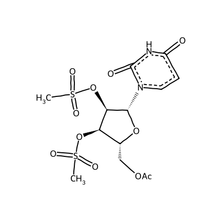 CC(=O)OC[C@H]1O[C@@H](n2ccc(=O)[nH]c2=O)[C@H](OS(C)(=O)=O)[C@@H]1OS(C)(=O)=O